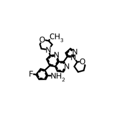 CC1CN(c2cc(-c3cc(F)ccc3N)c3ccnc(-c4ccnn4C4CCCCO4)c3n2)CCO1